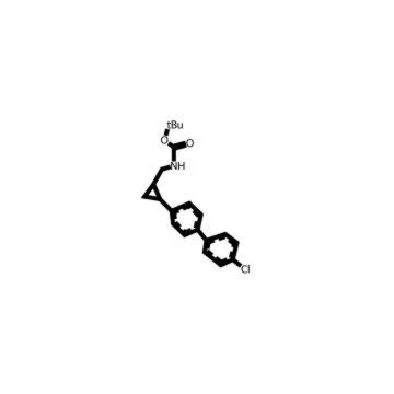 CC(C)(C)OC(=O)NCC1CC1c1ccc(-c2ccc(Cl)cc2)cc1